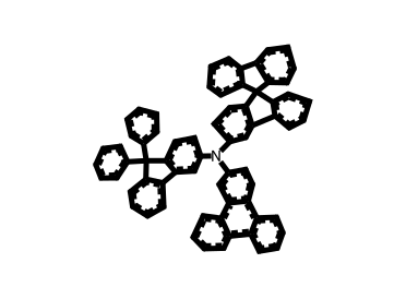 c1ccc(C2(c3ccccc3)c3ccccc3-c3cc(N(c4ccc5c(c4)-c4ccccc4C54c5ccccc5-c5ccccc54)c4ccc5c6ccccc6c6ccccc6c5c4)ccc32)cc1